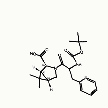 CC(C)(C)OC(=O)NC(Cc1ccccn1)C(=O)N1C[C@H]2[C@@H]([C@H]1C(=O)O)C2(C)C